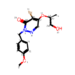 COc1ccc(Cn2ncc(O[C@@H](C)CO)c(Br)c2=O)cc1